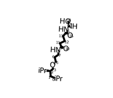 CC(C)CC(COCCCNC(=O)CCCC(=O)NNO)C(C)C